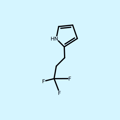 FC(F)(F)CCc1ccc[nH]1